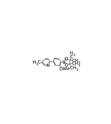 COc1cc(-c2ccc(C)cn2)ccc1B1OC(C)(C)C(C)(C)O1